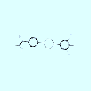 C/C(F)=C(\F)c1ccc(C2CCC(c3cc(F)c(F)c(F)c3)CC2)cc1